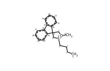 CCCCSCC1(COC)c2ccccc2-c2ccccc21